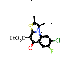 CCOC(=O)c1c(=O)c2cc(F)c(Cl)cc2n2c(C)c(C)sc12